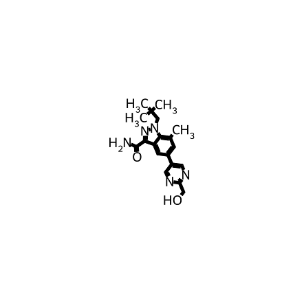 Cc1cc(-c2cnc(CO)nc2)cc2c(C(N)=O)nn(CC(C)(C)C)c12